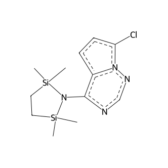 C[Si]1(C)CC[Si](C)(C)N1c1ncnn2c(Cl)ccc12